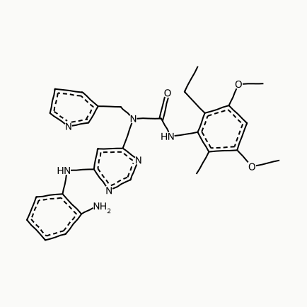 CCc1c(OC)cc(OC)c(C)c1NC(=O)N(Cc1cccnc1)c1cc(Nc2ccccc2N)ncn1